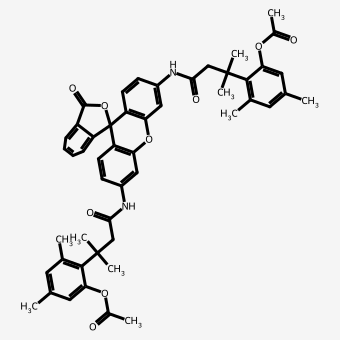 CC(=O)Oc1cc(C)cc(C)c1C(C)(C)CC(=O)Nc1ccc2c(c1)Oc1cc(NC(=O)CC(C)(C)c3c(C)cc(C)cc3OC(C)=O)ccc1C21OC(=O)c2ccccc21